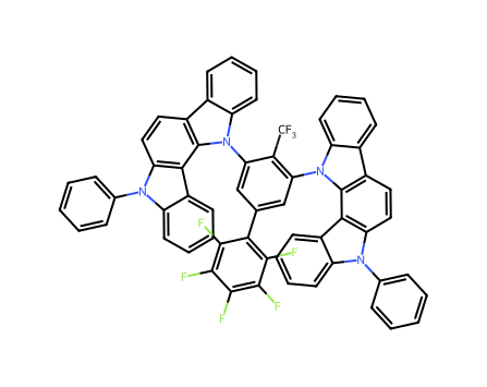 Fc1c(F)c(F)c(-c2cc(-n3c4ccccc4c4ccc5c(c6ccccc6n5-c5ccccc5)c43)c(C(F)(F)F)c(-n3c4ccccc4c4ccc5c(c6ccccc6n5-c5ccccc5)c43)c2)c(F)c1F